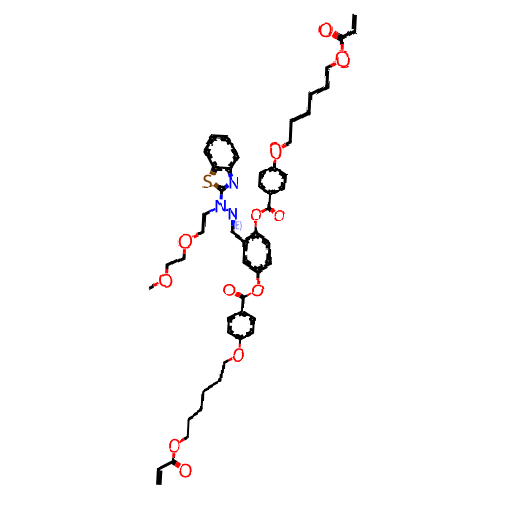 C=CC(=O)OCCCCCCOc1ccc(C(=O)Oc2ccc(OC(=O)c3ccc(OCCCCCCOC(=O)C=C)cc3)c(/C=N/N(CCOCCOC)c3nc4ccccc4s3)c2)cc1